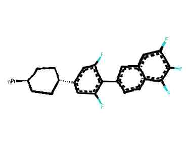 CCC[C@H]1CC[C@H](c2cc(F)c(-c3ccc4c(F)c(F)c(F)cc4c3)c(F)c2)CC1